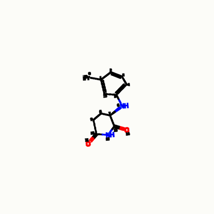 CC(C)c1cccc(N[C@@H]2CCC(=O)NC2=O)c1